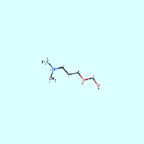 CN(C)CCCOC[O]